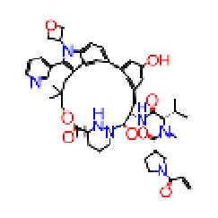 C=CC(=O)N1CC[C@H](C(=O)N(C)[C@H](C(=O)N[C@H]2Cc3cc(O)cc(c3)-c3ccc4c(c3)c(c(-c3cccnc3)n4C3COC3)CC(C)(C)COC(=O)[C@@H]3CCCN(N3)C2=O)C(C)C)C1